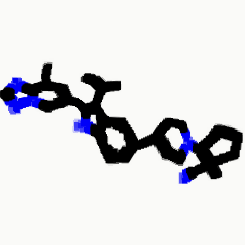 Cc1cc(-c2[nH]c3ccc(C4CCN(C5CCCC5(C)C#N)CC4)cc3c2C(C)C)cn2ncnc12